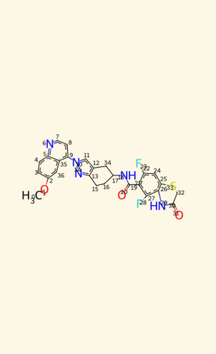 COc1ccc2nccc(-n3cc4c(n3)CCC(NC(=O)c3c(F)cc5c(c3F)NC(=O)CS5)C4)c2c1